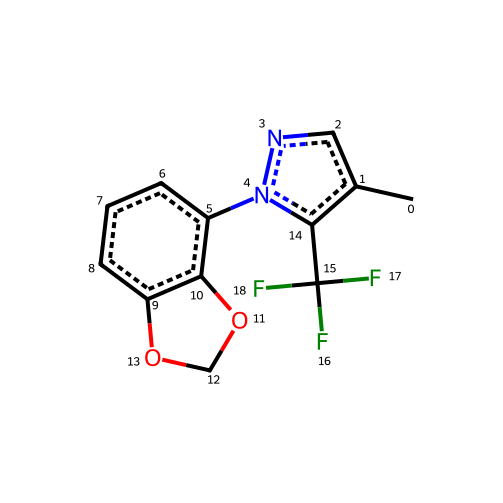 Cc1cnn(-c2cccc3c2OCO3)c1C(F)(F)F